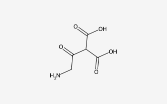 NCC(=O)C(C(=O)O)C(=O)O